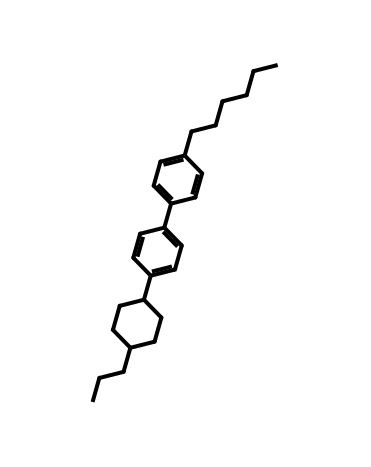 CCCCCCc1ccc(-c2ccc(C3CCC(CCC)CC3)cc2)cc1